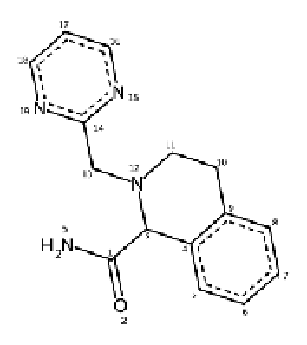 NC(=O)C1c2cc[c]cc2CCN1Cc1ncccn1